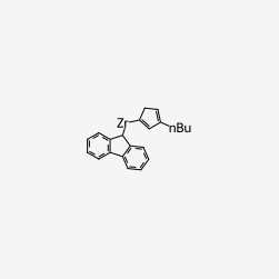 CCCCC1=CC[C]([Zr][CH]2c3ccccc3-c3ccccc32)=C1